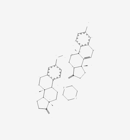 C1CNCCN1.C[C@]12CC[C@@H]3c4ccc(OS(=O)(=O)O)cc4CC[C@H]3[C@@H]1CCC2=O.C[C@]12CC[C@H]3C(=CCc4cc(O)ccc43)[C@@H]1CCC2=O